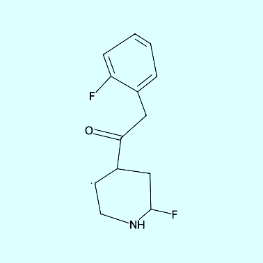 O=C(Cc1ccccc1F)C1[CH]CNC(F)C1